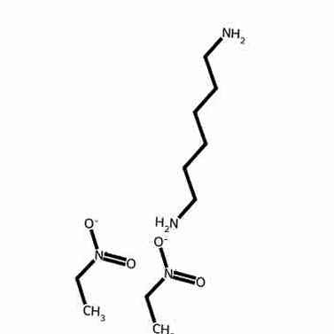 CC[N+](=O)[O-].CC[N+](=O)[O-].NCCCCCCN